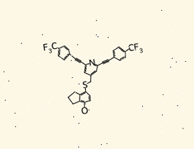 [O]c1ccc(SCc2cc(C#Cc3ccc(C(F)(F)F)cc3)nc(C#Cc3ccc(C(F)(F)F)cc3)c2)c2c1CCC2